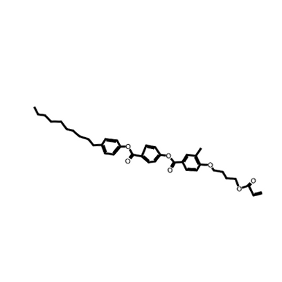 C=CC(=O)OCCCCOc1ccc(C(=O)Oc2ccc(C(=O)Oc3ccc(CCCCCCCCCC)cc3)cc2)cc1C